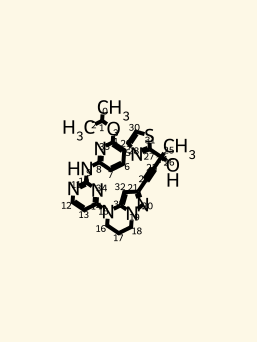 CC(C)Oc1cccc(Nc2nccc(N3CCCn4nc(C#CC(C)(O)c5nccs5)cc43)n2)n1